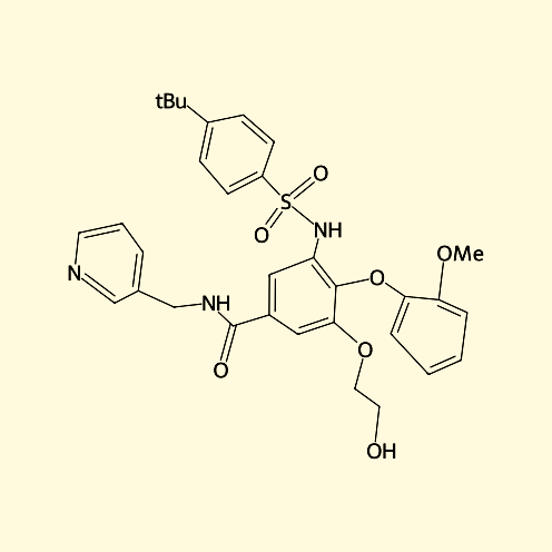 COc1ccccc1Oc1c(NS(=O)(=O)c2ccc(C(C)(C)C)cc2)cc(C(=O)NCc2cccnc2)cc1OCCO